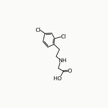 O=C(O)CNCCc1ccc(Cl)cc1Cl